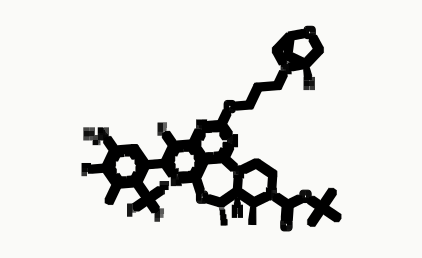 Cc1c(F)c(N)cc(-c2nc3c4c(nc(OCCCN5CC6C[C@@H]5CO6)nc4c2F)N2CCN(C(=O)OC(C)(C)C)[C@@H](C)[C@H]2[C@H](C)O3)c1C(F)(F)F